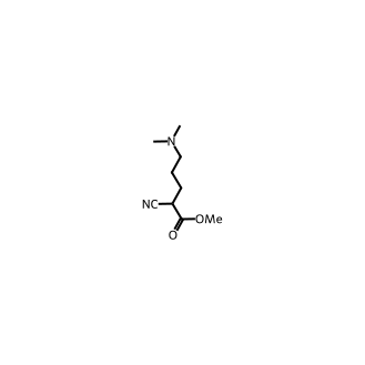 COC(=O)C(C#N)CCCN(C)C